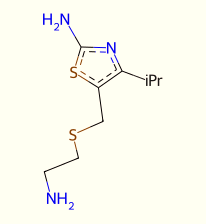 CC(C)c1nc(N)sc1CSCCN